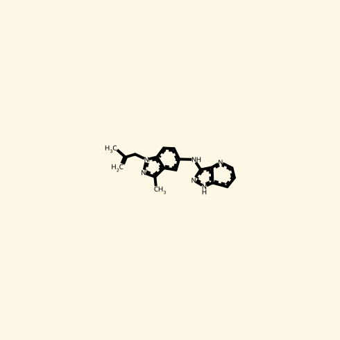 C=C(C)Cn1nc(C)c2cc(Nc3n[nH]c4cccnc34)ccc21